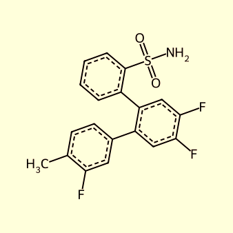 Cc1ccc(-c2cc(F)c(F)cc2-c2ccccc2S(N)(=O)=O)cc1F